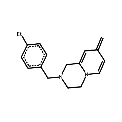 C=C1C=CN2CCN(Cc3ccc(CC)cc3)CC2=C1